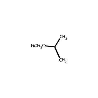 Cl.[CH2]C(C)C